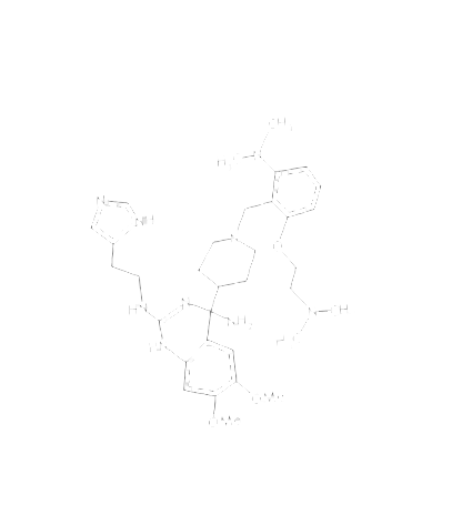 COc1cc2c(cc1OC)C(N)(C1CCN(Cc3c(OCCN(C)C)cccc3N(C)C)CC1)N=C(NCCc1cnc[nH]1)N2